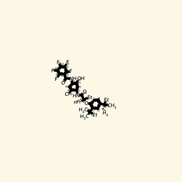 CCCC(CC)(Oc1ccc(C(C)(C)CC)cc1C(C)(C)CC)C(=O)Nc1cc(O)c(NC(=O)c2c(F)c(F)c(F)c(F)c2F)cc1Cl